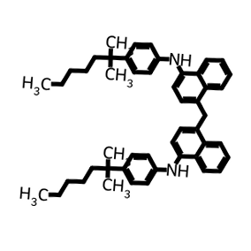 CCCCCC(C)(C)c1ccc(Nc2ccc(Cc3ccc(Nc4ccc(C(C)(C)CCCCC)cc4)c4ccccc34)c3ccccc23)cc1